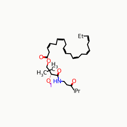 CC/C=C\C/C=C\C/C=C\C/C=C\C/C=C\C/C=C\CC(=O)OCC(C)(C)[C@@H](OI)C(=O)NCCC(=O)C(C)C